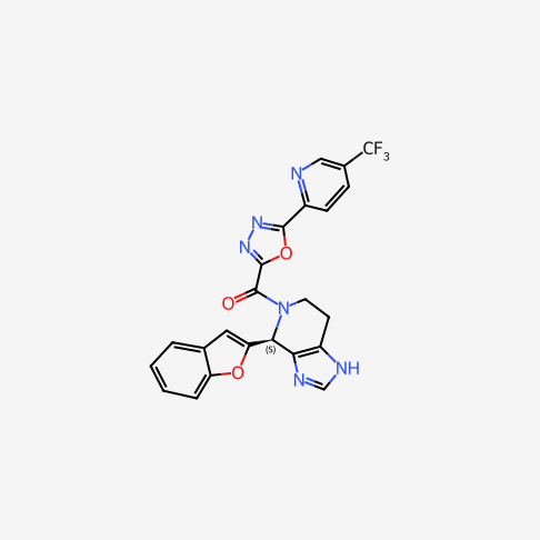 O=C(c1nnc(-c2ccc(C(F)(F)F)cn2)o1)N1CCc2[nH]cnc2[C@H]1c1cc2ccccc2o1